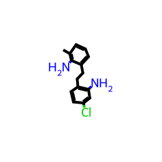 Cc1cccc(CCc2ccc(Cl)cc2N)c1N